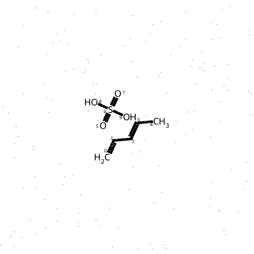 C=CC=CC.O=S(=O)(O)O